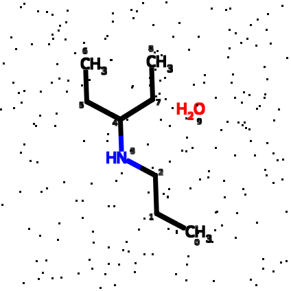 CCCNC(CC)CC.O